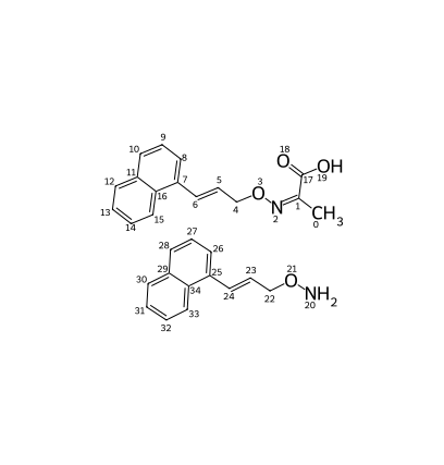 CC(=NOCC=Cc1cccc2ccccc12)C(=O)O.NOCC=Cc1cccc2ccccc12